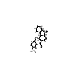 Cc1ccc(O)c(C(=O)c2cnc3[nH]c4ccccc4c3c2)c1